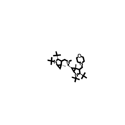 CN(CC1[C@@H](C(C)(C)C)N(C(C)(C)C)C2C[C@]12C)C[C@H]1C2N(C(C)(C)C)[C@H](C(C)(C)C)C(CN3CCOCC3)[C@]21C